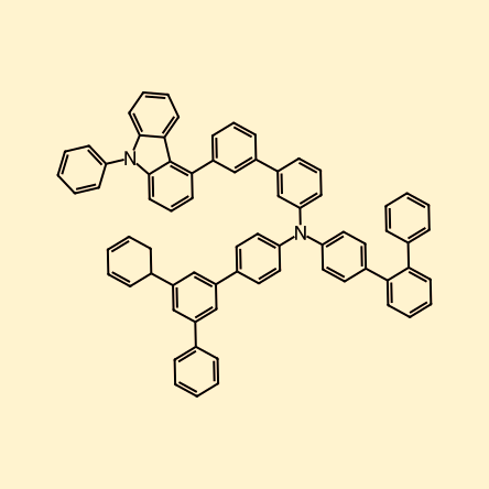 C1=CCC(c2cc(-c3ccccc3)cc(-c3ccc(N(c4ccc(-c5ccccc5-c5ccccc5)cc4)c4cccc(-c5cccc(-c6cccc7c6c6ccccc6n7-c6ccccc6)c5)c4)cc3)c2)C=C1